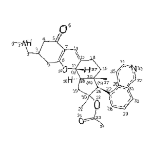 CNCC1CC(=O)C2=C(C1)O[C@@H]1C(=C2)CC[C@@]2(C)[C@H]1CC(C)(OC(C)=O)[C@@H]2c1cccc2cnccc12